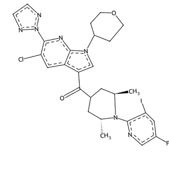 C[C@@H]1CC(C(=O)c2cn(C3CCOCC3)c3nc(-n4nccn4)c(Cl)cc23)C[C@@H](C)N1c1ncc(F)cc1I